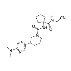 CN(C)c1ccc(C2CCCN(C(=O)NC3(C(=O)NCC#N)CCCC3)C2)cn1